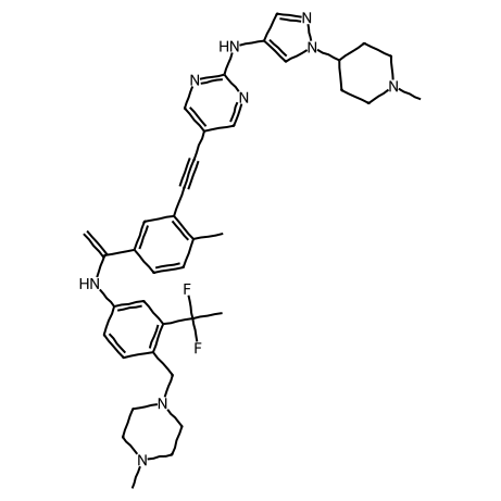 C=C(Nc1ccc(CN2CCN(C)CC2)c(C(C)(F)F)c1)c1ccc(C)c(C#Cc2cnc(Nc3cnn(C4CCN(C)CC4)c3)nc2)c1